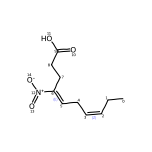 CC/C=C\C/C=C(\CCC(=O)O)[N+](=O)[O-]